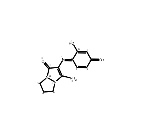 Nc1c(/N=C2\C=CC(=O)C=C2O)c(=O)n2n1CCC2